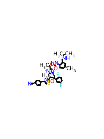 Cc1ccc(NC(=O)OC(C)C2=NN(C[C@](O)(c3cc(F)ccc3F)[C@@H](C)c3nc(-c4ccc(C#N)cc4)cs3)C=[N+]2)c(CNC(C)C)c1